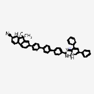 CC1(C)c2cc(C#N)ccc2-c2ccc(-c3ccc(-c4ccc(-c5ccc(C(=N)/N=c6\[nH]cc(-c7ccccc7)cc6-c6ccccc6)cc5)cc4)cc3)cc21